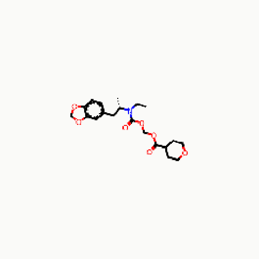 CCN(C(=O)OCOC(=O)C1CCOCC1)[C@@H](C)Cc1ccc2c(c1)OCO2